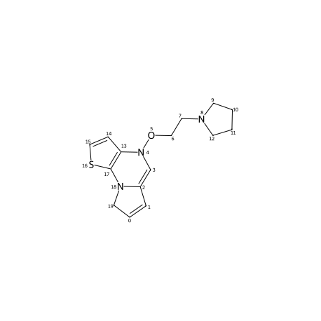 C1=CC2=CN(OCCN3CCCC3)c3ccsc3N2C1